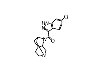 O=C(c1n[nH]c2cc(Cl)ccc12)N1C2CC3CCN(C2)CC31